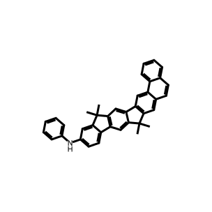 CC1(C)c2cc(Nc3ccccc3)ccc2-c2cc3c(cc21)-c1cc2c(ccc4ccccc42)cc1C3(C)C